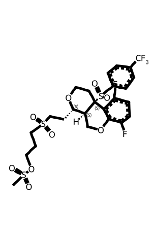 CS(=O)(=O)OCCCS(=O)(=O)CC[C@@H]1OCC[C@@]2(S(=O)(=O)c3ccc(C(F)(F)F)cc3)c3c(F)ccc(F)c3OC[C@@H]12